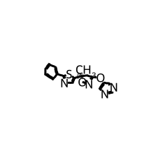 C[C@]1(c2cnc(-c3ccccc3)s2)CC(Oc2cncnc2)=NO1